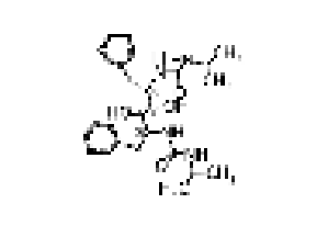 CC(C)NC(=O)N[C@@H](Cc1ccccc1)[C@H](O)[C@H](O)[C@H](Cc1ccccc1)NC(=O)NC(C)C